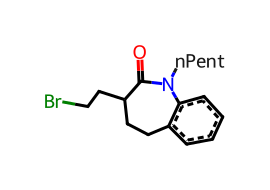 CCCCCN1C(=O)C(CCBr)CCc2ccccc21